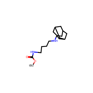 CC(C)(C)OC(=O)NCCCCNC12CC3CC(CC(C3)C1)C2